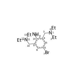 CCN(CC)Cc1cc(Br)cc(CN(CC)CC)c1N